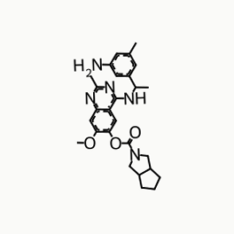 COc1cc2nc(C)nc(NC(C)c3cc(C)cc(N)c3)c2cc1OC(=O)N1CC2CCCC2C1